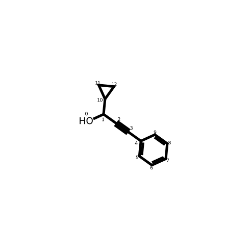 OC(C#Cc1ccccc1)C1CC1